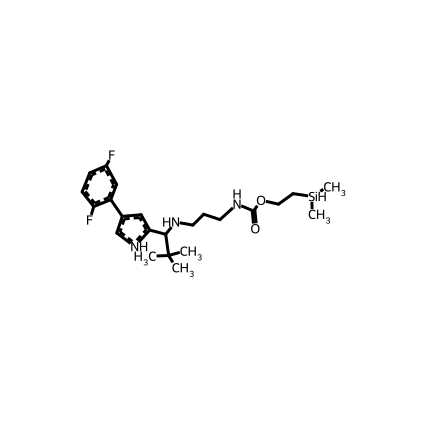 C[SiH](C)CCOC(=O)NCCCNC(c1cc(-c2cc(F)ccc2F)c[nH]1)C(C)(C)C